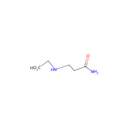 NC(=O)CCNCC(=O)O